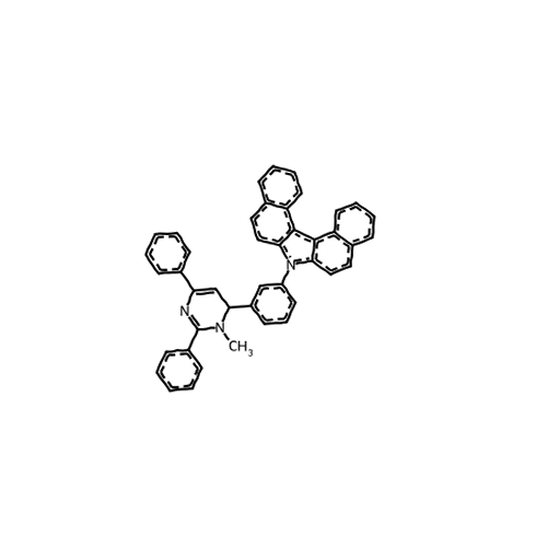 CN1C(c2ccccc2)=NC(c2ccccc2)=CC1c1cccc(-n2c3ccc4ccccc4c3c3c4ccccc4ccc32)c1